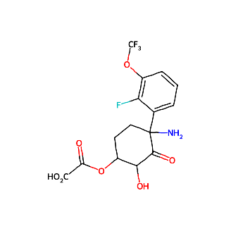 NC1(c2cccc(OC(F)(F)F)c2F)CCC(OC(=O)C(=O)O)C(O)C1=O